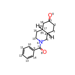 O=C1CC[C@@H]2CN(C(=O)c3ccccc3)CC[C@@H]2C1